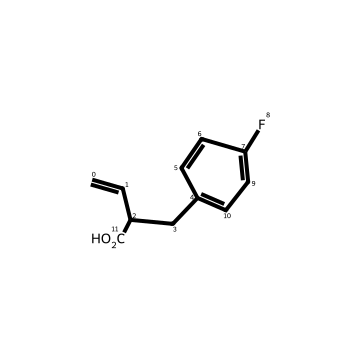 C=CC(Cc1ccc(F)cc1)C(=O)O